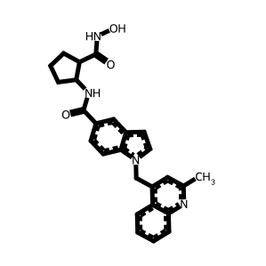 Cc1cc(Cn2ccc3cc(C(=O)NC4CCCC4C(=O)NO)ccc32)c2ccccc2n1